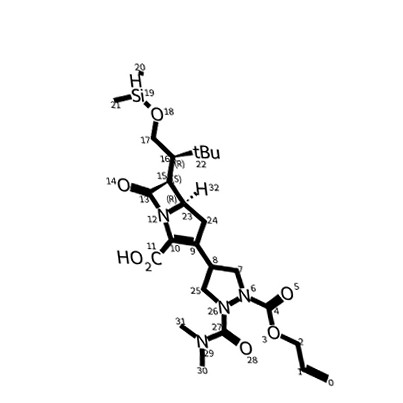 C=CCOC(=O)N1CC(C2=C(C(=O)O)N3C(=O)[C@@H]([C@@H](CO[SiH](C)C)C(C)(C)C)[C@H]3C2)CN1C(=O)N(C)C